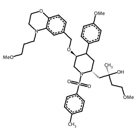 COCCCN1CCOc2ccc(CO[C@@H]3CN(S(=O)(=O)c4ccc(C)cc4)[C@@H](C[C@@](C)(O)CCOC)CC3c3ccc(OC)cc3)cc21